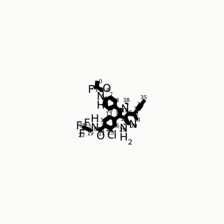 C=C(F)C(=O)Nc1ccc(-c2c(-c3ccc(C(=O)NCC(F)(F)F)c(Cl)c3)c3c(N)ncc(C#CC)c3n2C)cc1